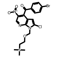 CS(C)(C)CCOCn1c(Cl)cc2c(C(=O)c3ccc(Br)cc3)c([N+](=O)[O-])cnc21